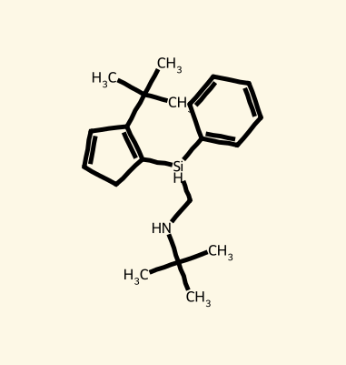 CC(C)(C)NC[SiH](C1=C(C(C)(C)C)C=CC1)c1ccccc1